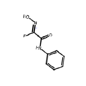 O=C(Nc1ccccc1)/C(F)=N/O